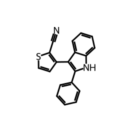 N#Cc1sccc1-c1c(-c2ccccc2)[nH]c2ccccc12